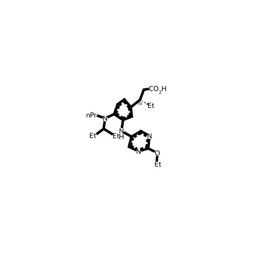 CCCN(c1ccc([C@@H](CC)CC(=O)O)cc1Nc1cnc(OCC)nc1)C(CC)CC